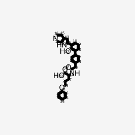 O=C(Cc1ccc(-c2cccc(-c3cc4ccncc4[nH]3)c2O)cc1)NC(CCCOc1ccccc1)C(=O)O